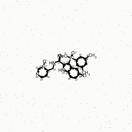 COP(=O)(c1cc(C)cc(C)c1)c1c(C(=O)NCc2ccnc[n+]2[O-])[nH]c2ccc(Cl)cc12